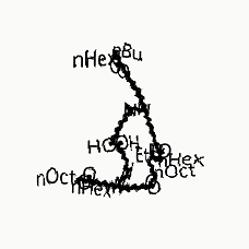 CCCCCCCCC(CCCCCC)COC(=O)CCCCCCCN(CCCCCCCC(=O)OCC(CCCCCCCC)CCCC(CC)C(CC)CC(CCCCCC)C(=O)OCCCCCCCCCN(CCCCCCCCCOCC(=O)CC(CCCC)CCCCCC)CCN(C)CCCCCCCCCO)CCN(C)CCCCCCO